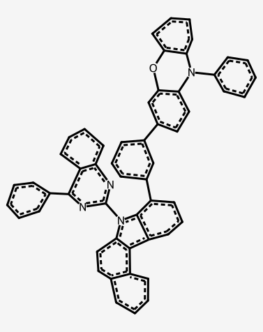 c1ccc(-c2nc(-n3c4ccc5ccccc5c4c4cccc(-c5cccc(-c6ccc7c(c6)Oc6ccccc6N7c6ccccc6)c5)c43)nc3ccccc23)cc1